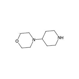 [CH]1CN(C2CCNCC2)CCO1